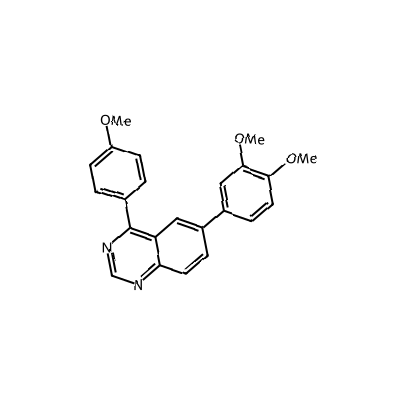 COc1ccc(-c2ncnc3ccc(-c4ccc(OC)c(OC)c4)cc23)cc1